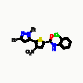 CCc1cc(-c2sc(C(=O)Nc3ccccc3Cl)cc2[N+](=O)[O-])n(CC)n1